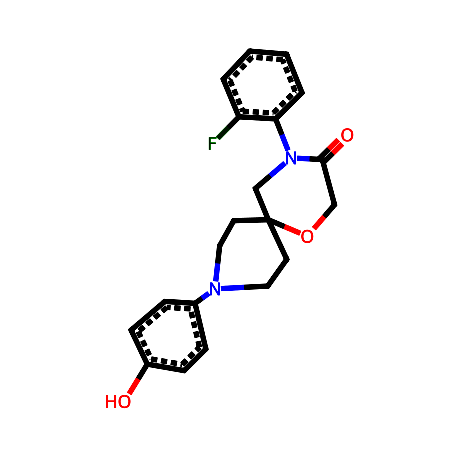 O=C1COC2(CCN(c3ccc(O)cc3)CC2)CN1c1ccccc1F